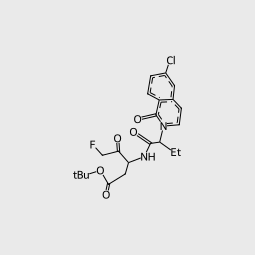 CCC(C(=O)NC(CC(=O)OC(C)(C)C)C(=O)CF)n1ccc2cc(Cl)ccc2c1=O